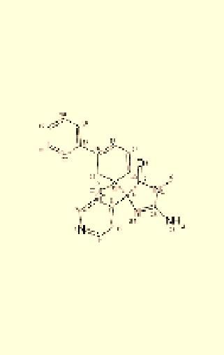 CN1C(=O)C(c2ccncc2)(C2(C(F)(F)F)C=CC=C(c3ccccc3)C2)N=C1N